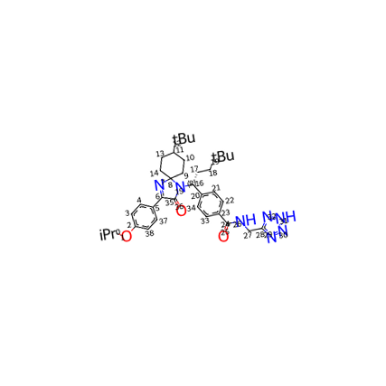 CC(C)Oc1ccc(C2=NC3(CCC(C(C)(C)C)CC3)N([C@H](CCC(C)(C)C)c3ccc(C(=O)NCc4nn[nH]n4)cc3)C2=O)cc1